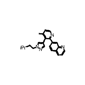 Cc1ccnc(-c2ccc3cccnc3c2)c1-c1cnn(CCC(C)C)c1